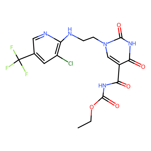 CCOC(=O)NC(=O)c1cn(CCNc2ncc(C(F)(F)F)cc2Cl)c(=O)[nH]c1=O